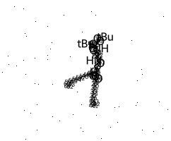 CC(C)(C)OC(=O)CC[C@H](NC(=O)c1ccc(CNC(=O)CCSCC(COC(=O)CCCCCCCCCCCC2CCCCC2)OC(=O)CCCCCCCCCCCC2CCCCC2)cc1)C(=O)OC(C)(C)C